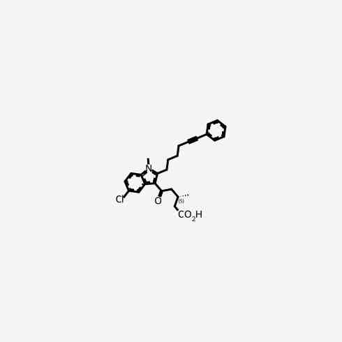 C[C@H](CC(=O)O)CC(=O)c1c(CCCCC#Cc2ccccc2)n(C)c2ccc(Cl)cc12